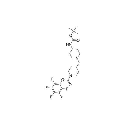 CC(C)(C)OC(=O)NC1CCN(CC2CCN(C(=O)Oc3c(F)c(F)c(F)c(F)c3F)CC2)CC1